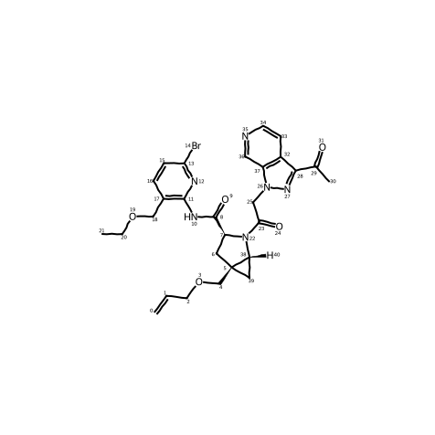 C=CCOC[C@@]12C[C@@H](C(=O)Nc3nc(Br)ccc3COCC)N(C(=O)Cn3nc(C(C)=O)c4ccncc43)[C@@H]1C2